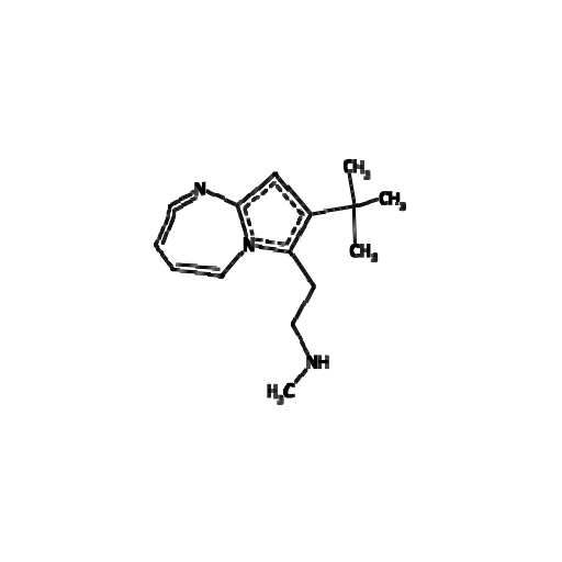 CNCCc1c(C(C)(C)C)cc2n1C=CC=C=N2